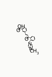 CN1CCN(Cc2ccccc2C(=O)C=Cc2cccc(C(=O)O)c2)CC1